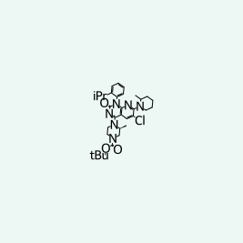 CC(C)c1ccccc1-n1c(=O)nc(N2CCN(C(=O)OC(C)(C)C)C[C@@H]2C)c2cc(Cl)c(N3CCCCC3C)nc21